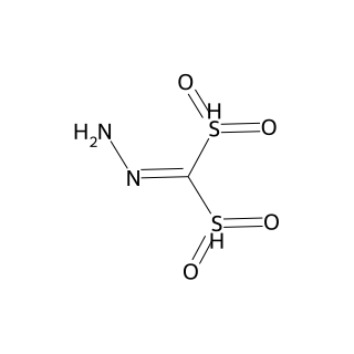 NN=C([SH](=O)=O)[SH](=O)=O